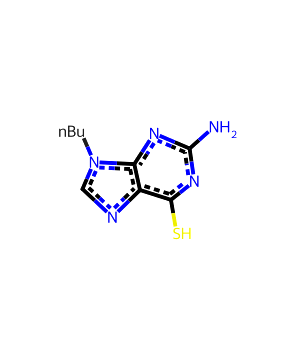 CCCCn1cnc2c(S)nc(N)nc21